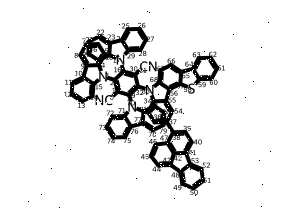 N#Cc1c(-n2c3ccccc3c3ccccc32)c(-n2c3ccccc3c3ccccc32)c(C#N)c(-n2c3ccc(-c4ccc5c6c(cccc46)-c4ccccc4-5)cc3c3c4sc5ccccc5c4ccc32)c1-n1c2ccccc2c2ccccc21